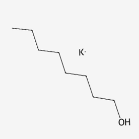 CCCCCCCCO.[K]